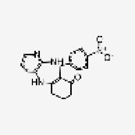 O=C1CCCC2=C1C(c1ccc([N+](=O)[O-])cc1)Nc1ncccc1N2